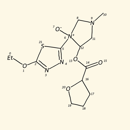 CCOc1nnc([N+]2([O-])CN(C)CC2OC(=O)C2CCCO2)s1